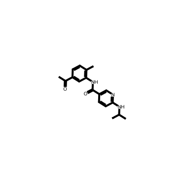 CC(=O)c1ccc(C)c(NC(=O)c2ccc(NC(C)C)nc2)c1